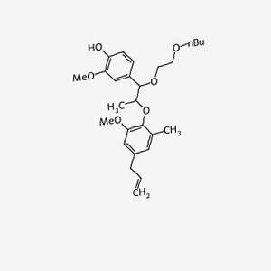 C=CCc1cc(C)c(OC(C)C(OCCOCCCC)c2ccc(O)c(OC)c2)c(OC)c1